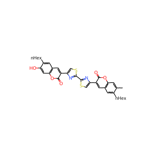 CCCCCCc1cc2cc(-c3csc(-c4nc(-c5cc6cc(CCCCCC)c(O)cc6oc5=O)cs4)n3)c(=O)oc2cc1C